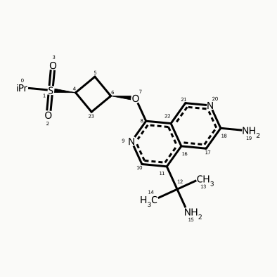 CC(C)S(=O)(=O)[C@H]1C[C@@H](Oc2ncc(C(C)(C)N)c3cc(N)ncc23)C1